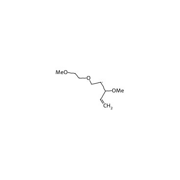 C=CC([CH]COCCOC)OC